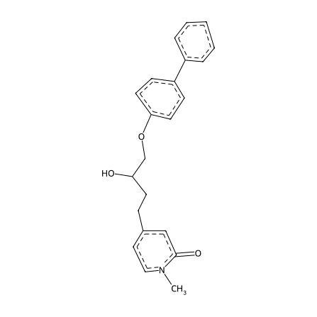 Cn1ccc(CCC(O)COc2ccc(-c3ccccc3)cc2)cc1=O